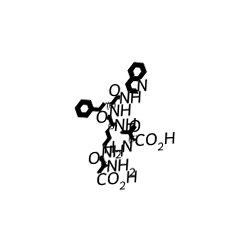 N[C@H](C(=O)O)C(=O)CN[C@@H](CCCNC(=O)[C@@H](N)CC(=O)O)C(=O)N[C@H](CCc1ccccc1)C(=O)Nc1cnc2ccccc2c1